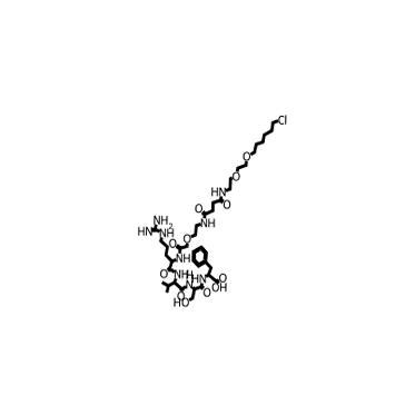 CC(C)C(NC(=O)C(CCCNC(=N)N)NC(=O)COCCNC(=O)CCC(=O)NCCOCCOCCCCCCCl)C(=O)NC(CO)C(=O)NC(Cc1ccccc1)C(=O)O